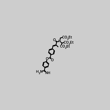 CCOC(=O)CN(C(=O)/C(C)=C/c1ccc(C(=O)Oc2ccc(C(=N)N)cc2)cc1)C(C(=O)OCC)C(=O)OCC